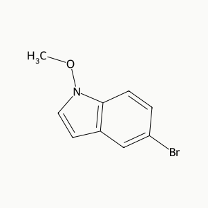 COn1ccc2cc(Br)ccc21